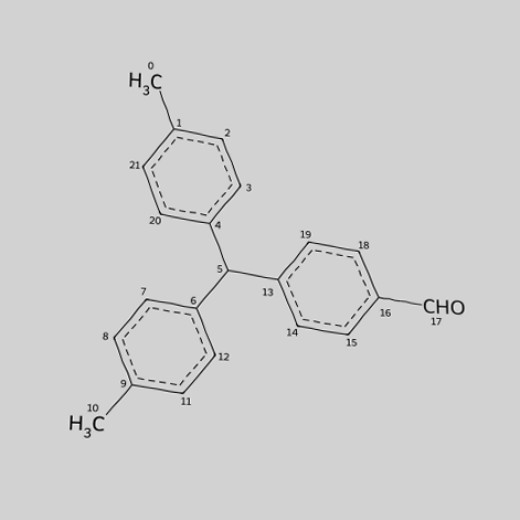 Cc1ccc(C(c2ccc(C)cc2)c2ccc(C=O)cc2)cc1